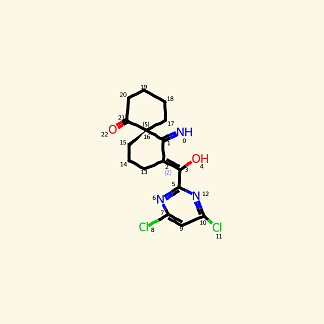 N=C1/C(=C(\O)c2nc(Cl)cc(Cl)n2)CCC[C@@]12CCCCC2=O